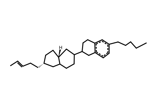 C/C=C/CC[C@@H]1CC[C@@H]2CC(C3CCc4cc(CCCCC)ccc4C3)CCC2C1